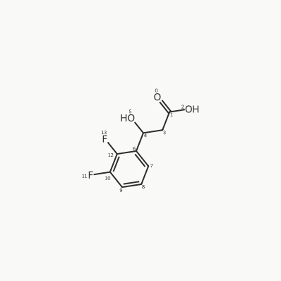 O=C(O)CC(O)c1cccc(F)c1F